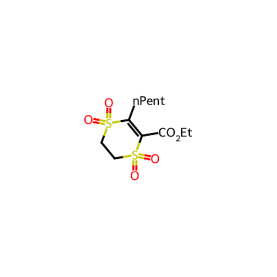 CCCCCC1=C(C(=O)OCC)S(=O)(=O)CCS1(=O)=O